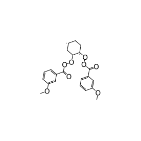 COc1cccc(C(=O)OO[C]2CC[CH]CC2OOC(=O)c2cccc(OC)c2)c1